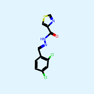 O=C(NN=Cc1ccc(Cl)cc1Cl)c1cscn1